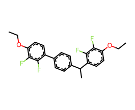 CCOc1ccc(-c2ccc(C(C)c3ccc(OCC)c(F)c3F)cc2)c(F)c1F